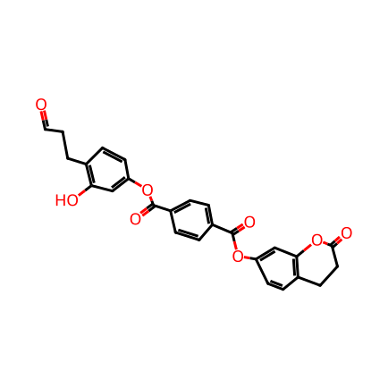 O=CCCc1ccc(OC(=O)c2ccc(C(=O)Oc3ccc4c(c3)OC(=O)CC4)cc2)cc1O